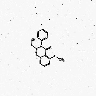 COc1cccc2nc(CS)n(-c3ccccc3)c(=O)c12